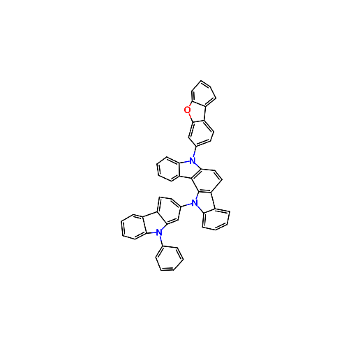 c1ccc(-n2c3ccccc3c3ccc(-n4c5ccccc5c5ccc6c(c7ccccc7n6-c6ccc7c(c6)oc6ccccc67)c54)cc32)cc1